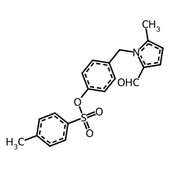 Cc1ccc(S(=O)(=O)Oc2ccc(Cn3c(C)ccc3C=O)cc2)cc1